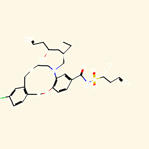 C=CC[C@H](O)[C@@H]1CC[C@H]1CN1CCCCc2cc(Cl)ccc2COc2ccc(C(=O)NS(=O)(=O)[C@@H](CC=C)C(C)C)cc21